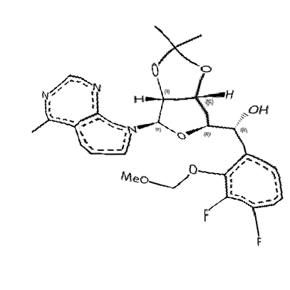 COCOc1c([C@@H](O)[C@H]2O[C@@H](n3ccc4c(C)ncnc43)[C@@H]3OC(C)(C)O[C@@H]32)ccc(F)c1F